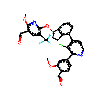 COc1cc(-c2nccc(-c3cccc4c3CC[C@@H]4Oc3nc(OC)c(C=O)cc3C(F)(F)F)c2Cl)ccc1C=O